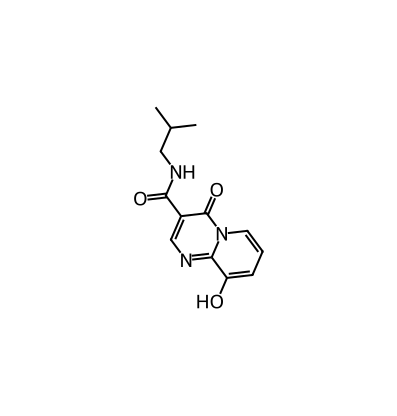 CC(C)CNC(=O)c1cnc2c(O)cccn2c1=O